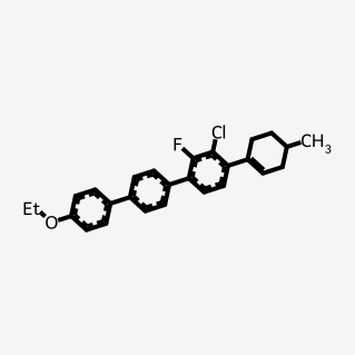 CCOc1ccc(-c2ccc(-c3ccc(C4=CCC(C)CC4)c(Cl)c3F)cc2)cc1